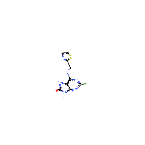 Cn1c(=O)[nH]c2nc(Cl)nc(NCc3nccs3)c21